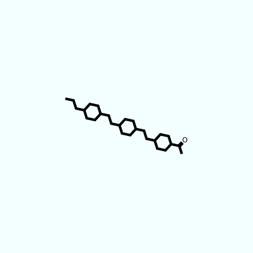 CCCC1CCC(CCC2CCC(CCC3CCC(C(C)=O)CC3)CC2)CC1